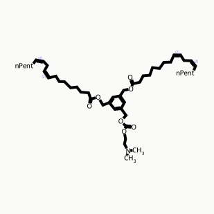 CCCCC/C=C\C/C=C\CCCCCCCC(=O)OCc1cc(COC(=O)CCCCCCC/C=C\C/C=C\CCCCC)cc(COC(=O)OCCN(C)C)c1